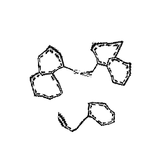 C=Cc1ccccc1.c1ccc2c([Se]c3cccc4ccccc34)cccc2c1